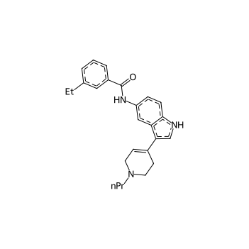 CCCN1CC=C(c2c[nH]c3ccc(NC(=O)c4cccc(CC)c4)cc23)CC1